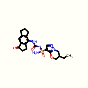 CCC1COc2c(S(N)(=O)=NC(=O)Nc3c4c(cc5c3CCC5=O)CCC4)cnn2C1